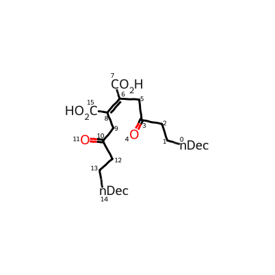 CCCCCCCCCCCCC(=O)CC(C(=O)O)=C(CC(=O)CCCCCCCCCCCC)C(=O)O